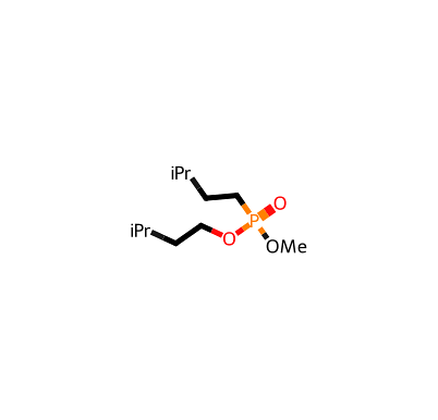 COP(=O)(CCC(C)C)OCCC(C)C